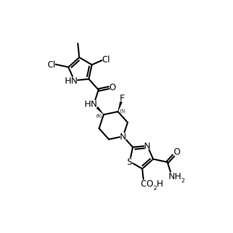 Cc1c(Cl)[nH]c(C(=O)N[C@@H]2CCN(c3nc(C(N)=O)c(C(=O)O)s3)C[C@@H]2F)c1Cl